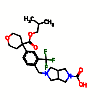 CC(C)COC(=O)C1(c2ccc(CN3CC4CN(C(=O)O)CC4C3)c(C(F)(F)F)c2)CCOCC1